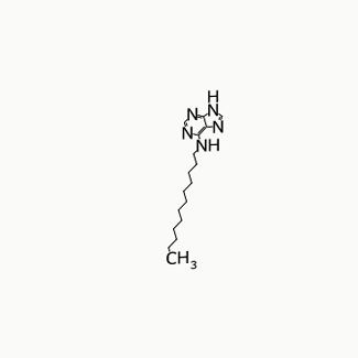 CCCCCCCCCCCCNc1ncnc2[nH]cnc12